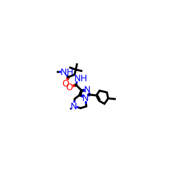 CNC(=O)C(NC(=O)c1nc(C2=CCC(C)CC2)n2c1CN(C)CC2)C(C)(C)C